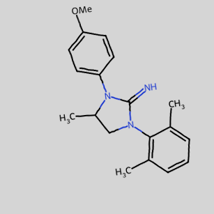 COc1ccc(N2C(=N)N(c3c(C)cccc3C)CC2C)cc1